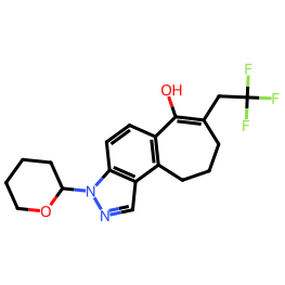 OC1=C(CC(F)(F)F)CCCc2c1ccc1c2cnn1C1CCCCO1